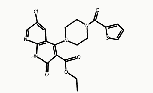 CCOC(=O)c1c(N2CCN(C(=O)c3cccs3)CC2)c2cc(Cl)cnc2[nH]c1=O